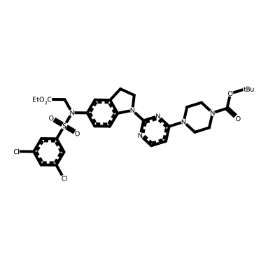 CCOC(=O)CN(c1ccc2c(c1)CCN2c1nccc(N2CCN(C(=O)OC(C)(C)C)CC2)n1)S(=O)(=O)c1cc(Cl)cc(Cl)c1